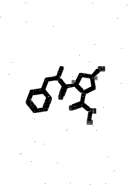 CCNC(=O)N1C[C@H](S)C[C@@H]1C(=O)N(C)Cc1ccccc1